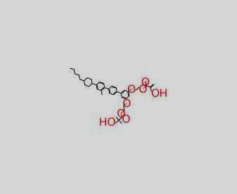 C=C(CO)C(=O)OCCOc1cc(OCCOC(=O)C(C)(C)CO)cc(-c2ccc(-c3ccc(C4CCC(CCCCC)CC4)cc3C)cc2)c1